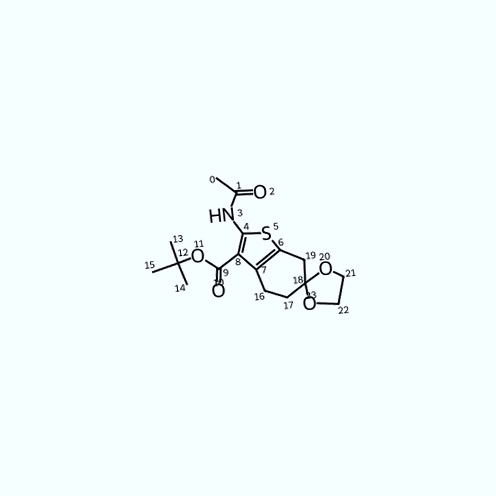 CC(=O)Nc1sc2c(c1C(=O)OC(C)(C)C)CCC1(C2)OCCO1